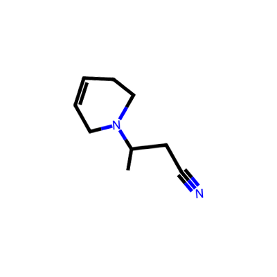 CC(CC#N)N1CC=CCC1